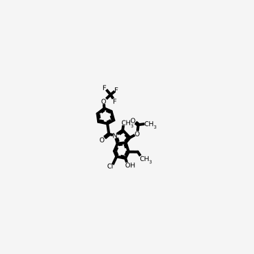 CCc1c(O)c(Cl)cc2c1c(OC(C)=O)c(C)n2C(=O)c1ccc(OC(F)(F)F)cc1